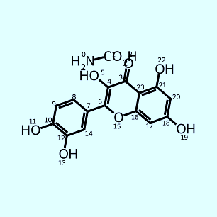 NC(=O)O.O=c1c(O)c(-c2ccc(O)c(O)c2)oc2cc(O)cc(O)c12